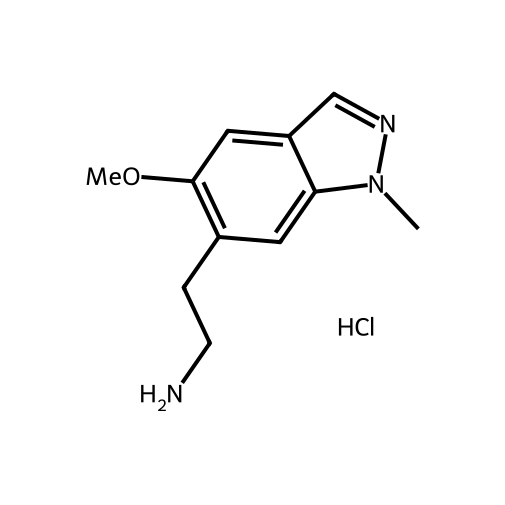 COc1cc2cnn(C)c2cc1CCN.Cl